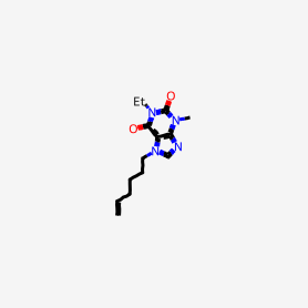 C=CCCCCn1cnc2c1c(=O)n(CC)c(=O)n2C